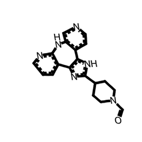 O=CN1CCC(c2nc3c([nH]2)-c2ccncc2Nc2ncccc2-3)CC1